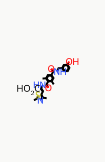 Cc1nc(C)c(C=C(NC(=O)c2c(C)cc(C(=O)NCc3cccc(O)c3)cc2C)C(=O)O)s1